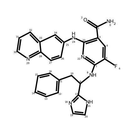 NC(=O)c1cc(F)c(NC(Cc2ccccc2)c2ncc[nH]2)nc1Nc1ccc2ncccc2c1